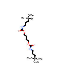 CC[Si](CCCNC(=O)OCCCCOC(=O)NCCC[Si](OC)(OC)OC)(OC)OC